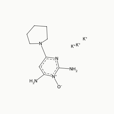 Nc1cc(N2CCCCC2)nc(N)[n+]1[O-].[K+].[K+].[K+]